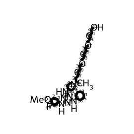 COc1ccc(Nc2nc(NC3CCCCCC3)nc(NC3CCN(C(C)CCOCCOCCOCCOCCOCCO)CC3)n2)cc1F